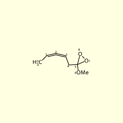 CC=C=CCC1(OC)OO1